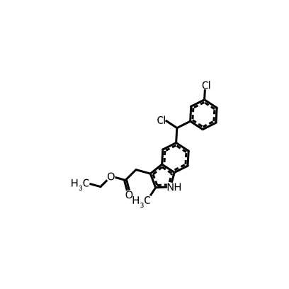 CCOC(=O)Cc1c(C)[nH]c2ccc(C(Cl)c3cccc(Cl)c3)cc12